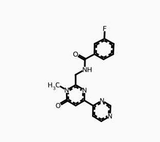 Cn1c(CNC(=O)c2cccc(F)c2)nc(-c2ccncn2)cc1=O